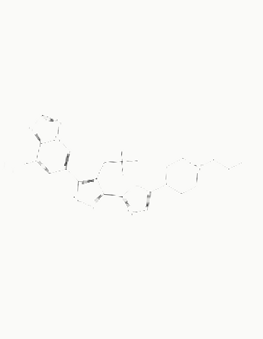 CCCN1CCC(c2cnc(-c3n[nH]c(-c4cc(C)c5ncnn5c4)c3CC(F)(F)F)s2)CC1